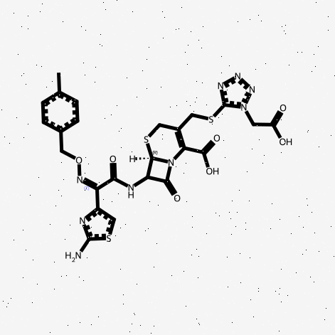 Cc1ccc(CO/N=C(\C(=O)NC2C(=O)N3C(C(=O)O)=C(CSc4nnnn4CC(=O)O)CS[C@H]23)c2csc(N)n2)cc1